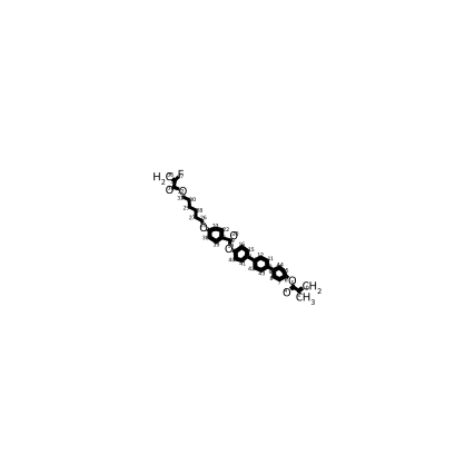 C=C(C)C(=O)Oc1ccc(-c2ccc(-c3ccc(OC(=O)c4ccc(OCCCCCCOC(=O)C(=C)F)cc4)cc3)cc2)cc1